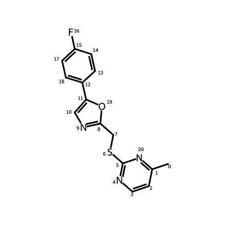 Cc1ccnc(SCc2ncc(-c3ccc(F)cc3)o2)n1